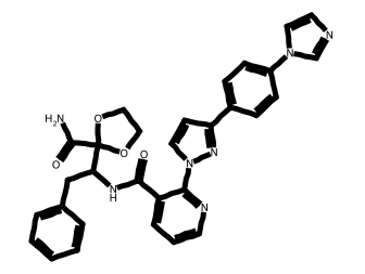 NC(=O)C1(C(Cc2ccccc2)NC(=O)c2cccnc2-n2ccc(-c3ccc(-n4ccnc4)cc3)n2)OCCO1